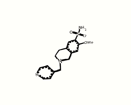 COc1cc2c(cc1S(N)(=O)=O)CCN(Cc1ccncc1)C2